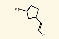 CCC=CC1CCC(N)C1